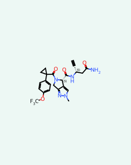 C#C[C@H](CC(N)=O)NC(=O)[C@@H]1c2cn(C)nc2CN1C(=O)C1(c2ccc(OC(F)(F)F)cc2)CC1